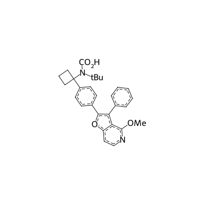 COc1nccc2oc(-c3ccc(C4(N(C(=O)O)C(C)(C)C)CCC4)cc3)c(-c3ccccc3)c12